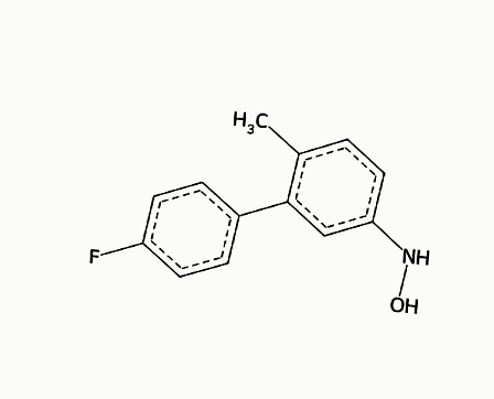 Cc1ccc(NO)cc1-c1ccc(F)cc1